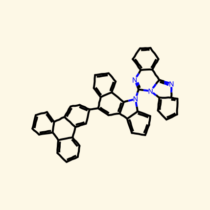 c1ccc2c(c1)nc(-n1c3ccccc3c3cc(-c4ccc5c6ccccc6c6ccccc6c5c4)c4ccccc4c31)n1c3ccccc3nc21